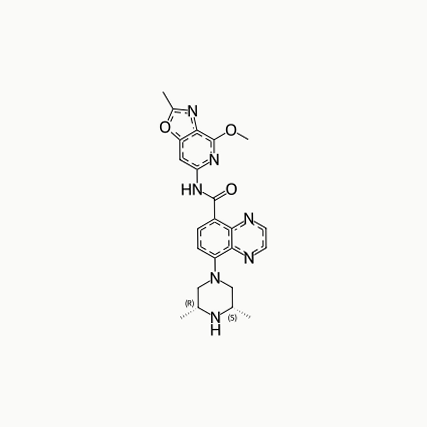 COc1nc(NC(=O)c2ccc(N3C[C@@H](C)N[C@@H](C)C3)c3nccnc23)cc2oc(C)nc12